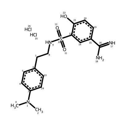 CN(C)c1ccc(CCNS(=O)(=O)c2cc(C(=N)N)ccc2O)cc1.Cl.Cl